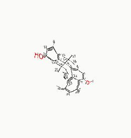 COc1ccc(C(c2cccc(O)c2)(C(C)(C)C)C(C)(C)C)c2ccccc12